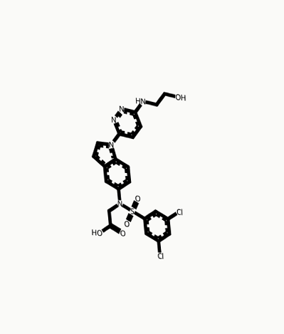 O=C(O)CN(c1ccc2c(ccn2-c2ccc(NCCO)nn2)c1)S(=O)(=O)c1cc(Cl)cc(Cl)c1